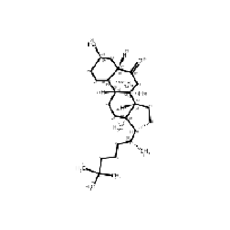 C[C@H](CCCC(C)(C)C)[C@H]1CC[C@H]2[C@@H]3CC(=O)[C@H]4C[C@H](O)CC[C@]4(C)[C@H]3CC[C@]12C